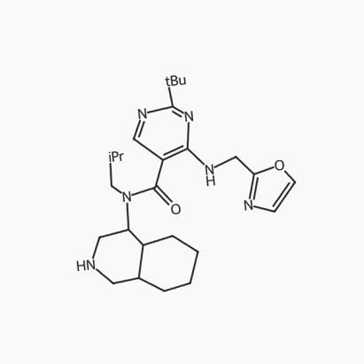 CC(C)CN(C(=O)c1cnc(C(C)(C)C)nc1NCc1ncco1)C1CNCC2CCCCC21